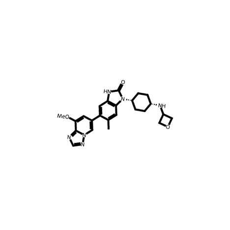 COc1cc(-c2cc3[nH]c(=O)n([C@H]4CC[C@@H](NC5COC5)CC4)c3cc2C)cn2ncnc12